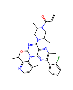 C=CC(=O)N1CC(C)N(c2nc(=O)n(-c3c(C)ccnc3C(C)C)c3nc(-c4ccccc4F)c(C)nc23)CC1C